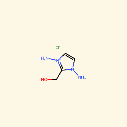 Nn1cc[n+](N)c1CO.[Cl-]